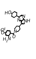 Nc1cc(OC(F)(F)F)ccc1C(=O)N1CCC(c2c[nH]c3ncc(C4CCC(O)CC4)nc23)CC1